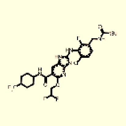 CC(C)(C)C(=O)NCc1ccc(Cl)c(Nc2nc3nc(OCC(F)F)c(C(=O)NC4CCC(C(F)(F)F)CC4)cc3[nH]2)c1F